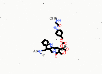 CC[C@@]1(OC(=O)OCc2ccc(NC(=O)CNC=O)cc2)C(=O)OCc2c1cc1n(c2=O)Cc2c-1nc1ccccc1c2CCN(C(C)=O)C(C)C